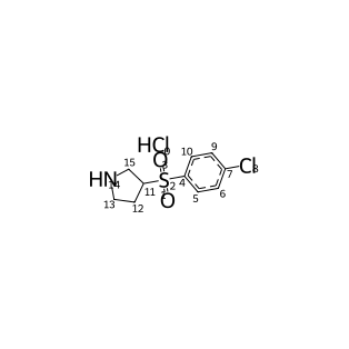 Cl.O=S(=O)(c1ccc(Cl)cc1)C1CCNC1